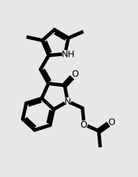 CC(=O)OCN1C(=O)/C(=C\c2[nH]c(C)cc2C)c2ccccc21